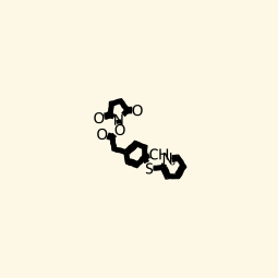 CC1(Sc2ccccn2)C=CC(CC(=O)ON2C(=O)CCC2=O)=CC1